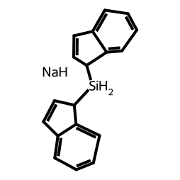 C1=CC([SiH2]C2C=Cc3ccccc32)c2ccccc21.[NaH]